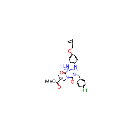 COC(=O)[C@@H](C)Cn1c(=O)n(N)/c(=N\c2ccc(OCC3CC3)cc2)n(Cc2ccc(Cl)cc2)c1=O